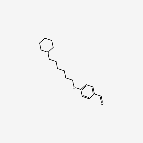 O=Cc1ccc(OCCCCCCN2CCCCC2)cc1